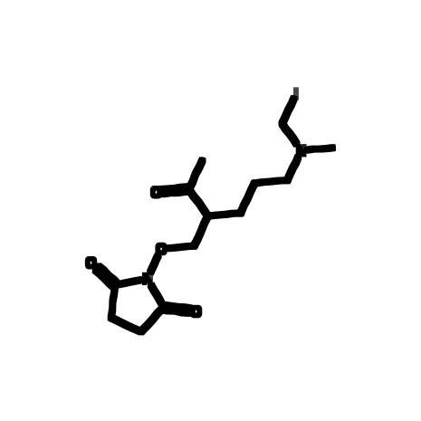 CC(=O)C(CCCN(C)CI)CON1C(=O)CCC1=O